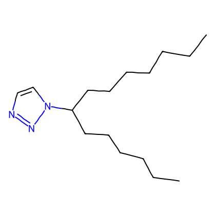 CCCCCCCC(CCCCCC)n1ccnn1